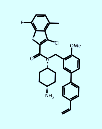 C=Cc1ccc(-c2ccc(OC)c(CN(C(=O)c3sc4c(F)ccc(C)c4c3Cl)[C@H]3CC[C@H](N)CC3)c2)cc1